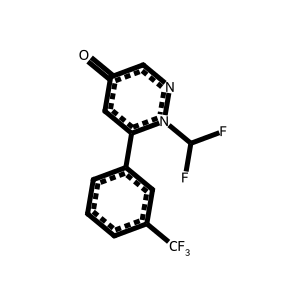 O=c1cnn(C(F)F)c(-c2cccc(C(F)(F)F)c2)c1